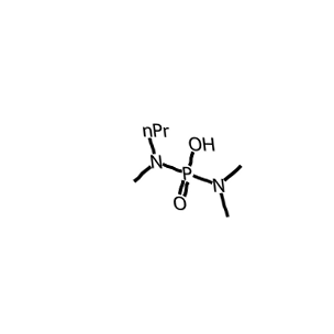 CCCN(C)P(=O)(O)N(C)C